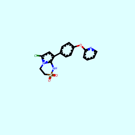 O=S1(=O)CCn2c(Cl)cc(-c3ccc(Oc4ccccn4)cc3)c2N1